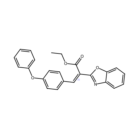 CCOC(=O)/C(=C\c1ccc(Oc2ccccc2)cc1)c1nc2ccccc2o1